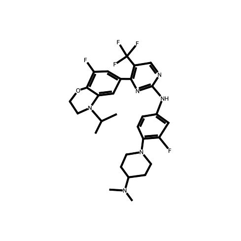 CC(C)N1CCOc2c(F)cc(-c3nc(Nc4ccc(N5CCC(N(C)C)CC5)c(F)c4)ncc3C(F)(F)F)cc21